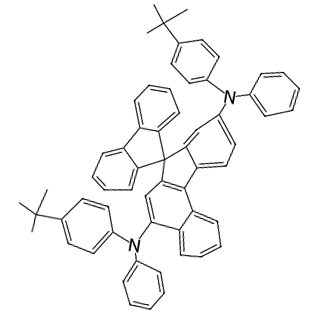 CC(C)(C)c1ccc(N(c2ccccc2)c2ccc3c(c2)C2(c4ccccc4-c4ccccc42)c2cc(N(c4ccccc4)c4ccc(C(C)(C)C)cc4)c4ccccc4c2-3)cc1